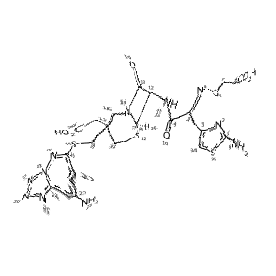 Nc1nc(C(=NOCC(=O)O)C(=O)NC2C(=O)N3CC(CSc4cc(N)c5nnnn5n4)(C(=O)O)CS[C@H]23)cs1